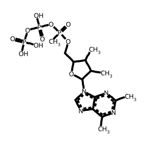 Cc1nc(C)c2ncn(C3OC(COP(C)(=O)OP(=O)(O)OP(=O)(O)O)C(C)C3C)c2n1